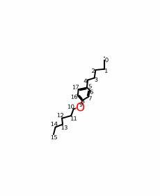 [CH2]CCCCc1ccc(OCCCCCC)cc1